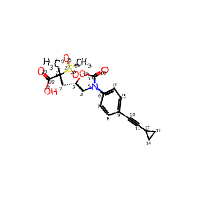 CC(C[C@H]1CN(c2ccc(C#CC3CC3)cc2)C(=O)O1)(C(=O)O)S(C)(=O)=O